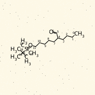 CCCCC(C=O)CCCCCO[Si](C)(C)C(C)(C)C